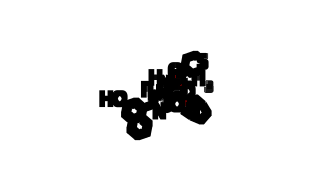 CC(C)(C)OC(=O)N1C2CCC1CN(c1nc(OC3CCSCC3)nc3c(F)c(-c4cc(O)cc5ccccc45)ncc13)C2